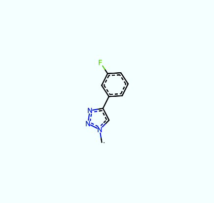 [CH2]n1cc(-c2cccc(F)c2)nn1